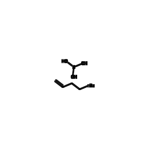 C=CCCCCCC.OB(O)O